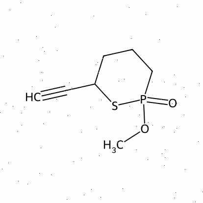 C#CC1CCCP(=O)(OC)S1